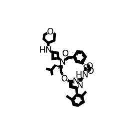 Cc1cccc(C)c1-c1cc2nc(n1)NS(=O)(=O)c1cccc(c1)C(=O)N(C1CC(NC3CCOCC3)C1)[C@H](CC(C)C)CO2